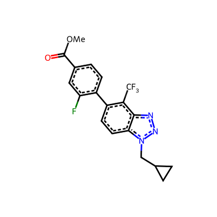 COC(=O)c1ccc(-c2ccc3c(nnn3CC3CC3)c2C(F)(F)F)c(F)c1